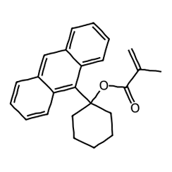 C=C(C)C(=O)OC1(c2c3ccccc3cc3ccccc23)CCCCC1